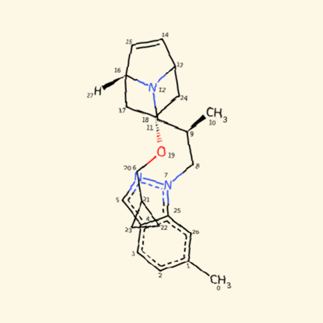 Cc1ccc2cnn(C[C@H](C)CN3C4C=C[C@H]3C[C@@H](OCC3CC3)C4)c2c1